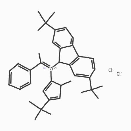 C/[C](c1ccccc1)=[Zr+2](/[C]1=CC(C(C)(C)C)=CC1C)[CH]1c2cc(C(C)(C)C)ccc2-c2ccc(C(C)(C)C)cc21.[Cl-].[Cl-]